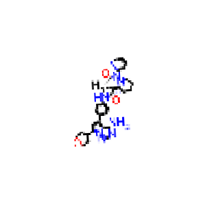 C/C(C(=O)Nc1ccc(-c2cc(C3CCOCC3)n3ncnc(N)c23)cc1)=C1/CCCCN1N(C=O)c1ccccn1